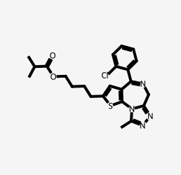 Cc1nnc2n1-c1sc(CCCCOC(=O)C(C)C)cc1C(c1ccccc1Cl)=NC2